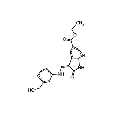 CCOC(=O)c1cnc2c(c1)/C(=C/Nc1cccc(CO)c1)C(=O)N2